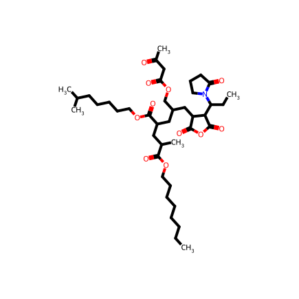 CCCCCCCCOC(=O)C(C)CC(CC(COC(=O)CC(C)=O)CC1C(=O)OC(=O)C1C(CC)N1CCCC1=O)C(=O)OCCCCCC(C)C